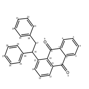 O=C1c2ccccc2C(=O)c2c1cccc2C(Cc1ccccc1)c1ccccc1